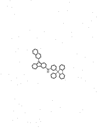 c1ccc(C2(c3cccc(Nc4ccc5c(c4)c4ccccc4n5-c4ccc5ccccc5c4)c3)c3ccccc3-c3ccccc32)cc1